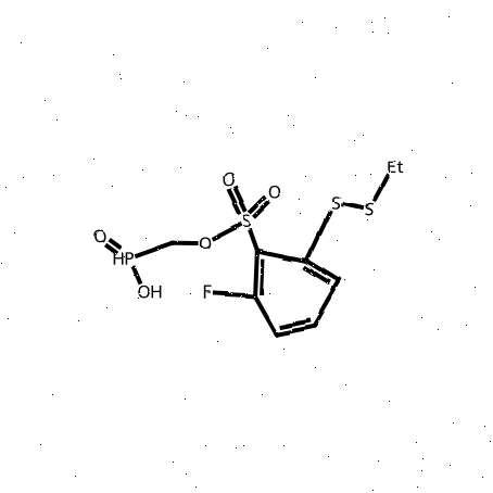 CCSSc1cccc(F)c1S(=O)(=O)OC[PH](=O)O